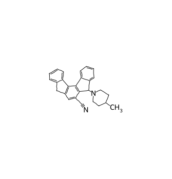 CC1CCN(C2c3ccccc3-c3c4c(cc(C#N)c32)Cc2ccccc2-4)CC1